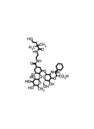 CC[C@@H]1CC(C(=O)NCCNC(=O)C(C)(C)CCO)CC(O[C@@H]2O[C@@H](CO)C(O)C(O[C@@H](CC3CCCCC3)C(=O)O)C2NC(C)=O)C1OC1OC(C)C(O)C(O)C1O